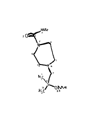 CNC(=O)N1CCN(C[Si](C)(C)OC)CC1